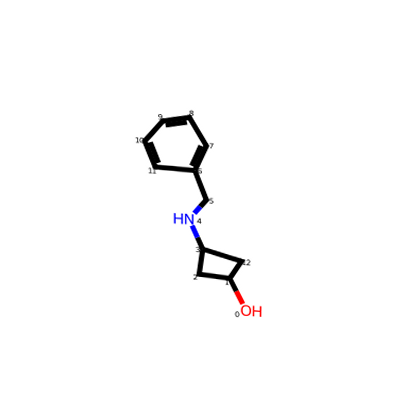 OC1CC(NCc2ccccc2)C1